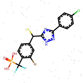 O=P(O)(O)C(F)(F)c1ccc(C(S)c2nc(-c3ccc(Cl)cc3)n[nH]2)cc1Br